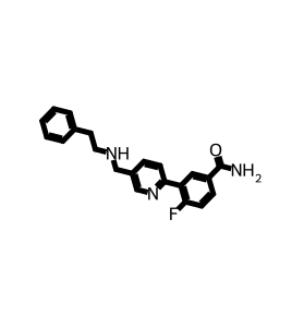 NC(=O)c1ccc(F)c(-c2ccc(CNCCc3ccccc3)cn2)c1